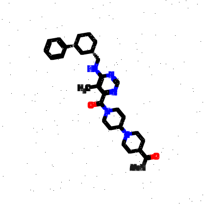 CNC(=O)C1CCN(C2CCN(C(=O)c3ncnc(NC[C@H]4CCC[C@@H](c5ccccc5)C4)c3C)CC2)CC1